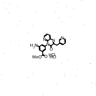 COC(=O)c1cc(N)cc(-n2c(=O)c(Cc3cccnc3)nc3cccnc32)c1.Cl.Cl